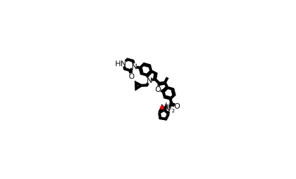 Cc1c(-c2cc3ccc(N4CCNCC4=O)cc3n2CC2CC2)oc2cc(C(=O)N3CC4CCC3[C@@H]4N)ccc12